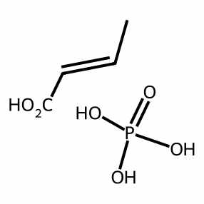 CC=CC(=O)O.O=P(O)(O)O